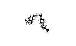 CS(=O)(=O)c1ccc(COC[C@@H]2C[C@@H]2C2CCN(c3nc(C4CC4)no3)CC2)cc1F